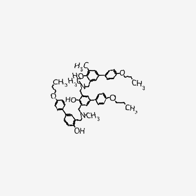 CCCOc1ccc(-c2ccc(O)c(CN(C)Cc3cc(-c4ccc(OCCC)cc4)cc(CN(C)Cc4cc(-c5ccc(OCCC)cc5)cc(C)c4O)c3O)c2)cc1